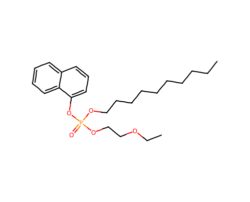 CCCCCCCCCCOP(=O)(OCCOCC)Oc1cccc2ccccc12